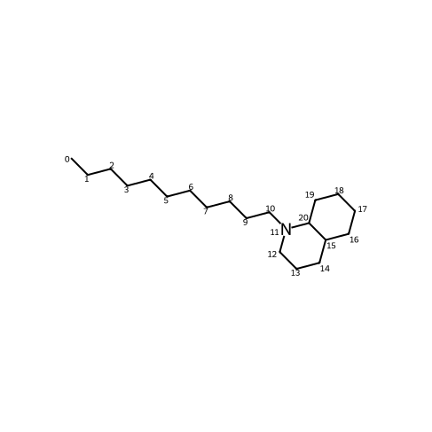 CCCCCCCCCCCN1CCCC2CCCCC21